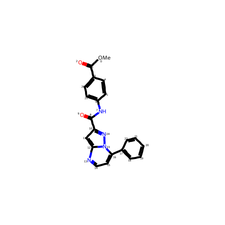 COC(=O)c1ccc(NC(=O)c2cc3nccc(-c4ccccc4)n3n2)cc1